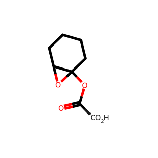 O=C(O)C(=O)OC12CCCCC1O2